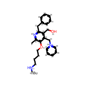 CCCCNCCCCOc1c(C)nc(Cc2ccccc2)c(CO)c1C[n+]1ccccc1